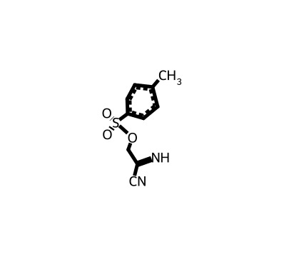 Cc1ccc(S(=O)(=O)OCC(=N)C#N)cc1